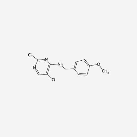 COc1ccc(CNc2nc(Cl)ncc2Cl)cc1